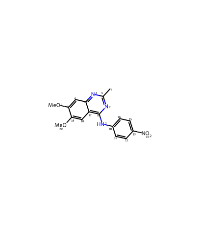 COc1cc2nc(C)nc(Nc3ccc([N+](=O)[O-])cc3)c2cc1OC